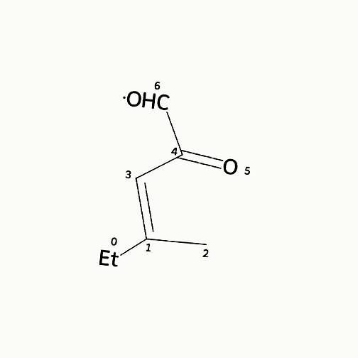 CCC(C)=CC(=O)[C]=O